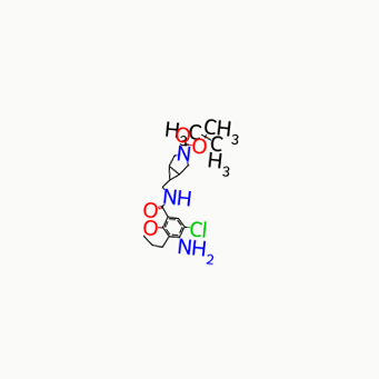 CC(C)(C)OC(=O)N1CC2C(CNC(=O)c3cc(Cl)c(N)c4c3OCCC4)C2C1